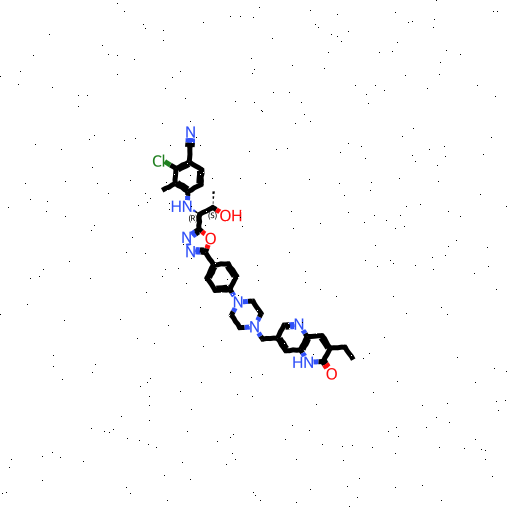 CCc1cc2ncc(CN3CCN(c4ccc(-c5nnc([C@H](Nc6ccc(C#N)c(Cl)c6C)[C@H](C)O)o5)cc4)CC3)cc2[nH]c1=O